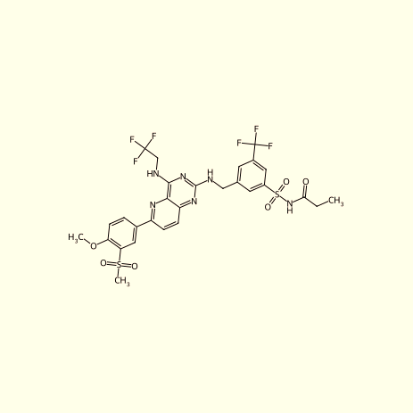 CCC(=O)NS(=O)(=O)c1cc(CNc2nc(NCC(F)(F)F)c3nc(-c4ccc(OC)c(S(C)(=O)=O)c4)ccc3n2)cc(C(F)(F)F)c1